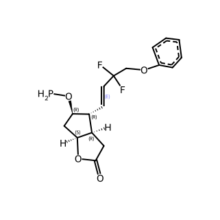 O=C1C[C@@H]2[C@@H](/C=C/C(F)(F)COc3ccccc3)[C@H](OP)C[C@@H]2O1